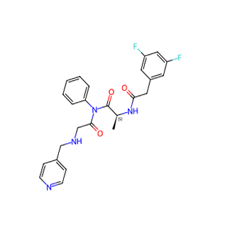 C[C@H](NC(=O)Cc1cc(F)cc(F)c1)C(=O)N(C(=O)CNCc1ccncc1)c1ccccc1